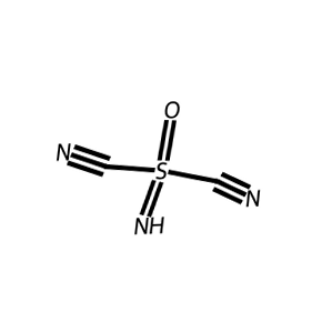 N#CS(=N)(=O)C#N